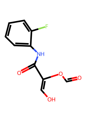 O=COC(=CO)C(=O)Nc1ccccc1F